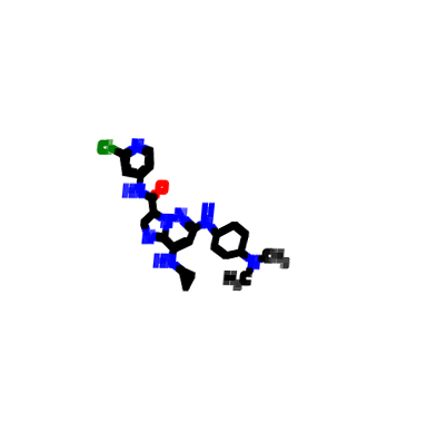 CN(C)C1CCC(NC2=NN3C(=NCC3C(=O)Nc3ccnc(Cl)c3)C(NC3CC3)=C2)CC1